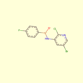 [O-][S+](Nc1cc(Br)cnc1Cl)c1ccc(F)cc1